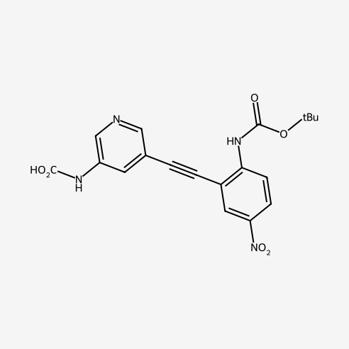 CC(C)(C)OC(=O)Nc1ccc([N+](=O)[O-])cc1C#Cc1cncc(NC(=O)O)c1